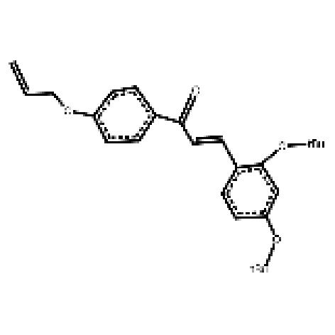 C=CCOc1ccc(C(=O)C=Cc2ccc(OC(C)(C)C)cc2OC(C)(C)C)cc1